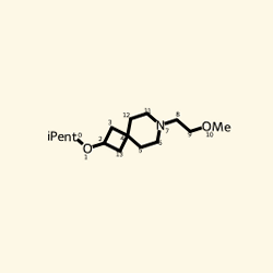 CCCC(C)OC1CC2(CCN(CCOC)CC2)C1